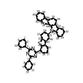 c1ccc(-c2nc(-c3ccccc3)nc(-c3cccc4c3sc3ccc(-n5c6ccccc6c6ccc7c8ccccc8sc7c65)cc34)n2)cc1